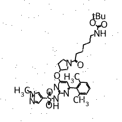 Cc1cccc(C)c1-c1cc(OC2CCN(C(=O)CCCCCNC(=O)OC(C)(C)C)C2)nc(NS(=O)(=O)c2cnn(C)c2)n1